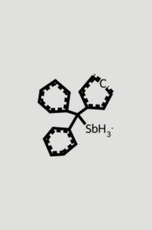 [SbH3][C](c1ccccc1)(c1ccccc1)c1ccccc1